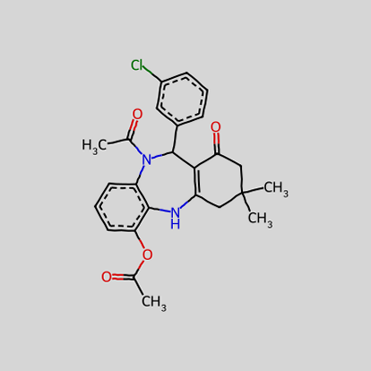 CC(=O)Oc1cccc2c1NC1=C(C(=O)CC(C)(C)C1)C(c1cccc(Cl)c1)N2C(C)=O